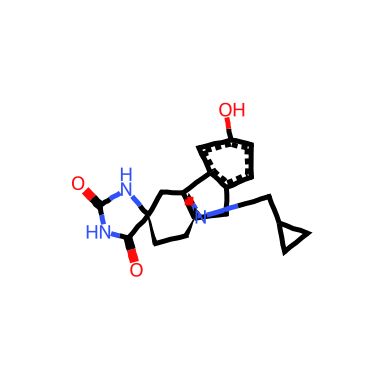 O=C1NC(=O)[C@]2(CC[C@@]34Cc5ccc(O)cc5[C@]3(CCN(CC3CC3)C4)C2)N1